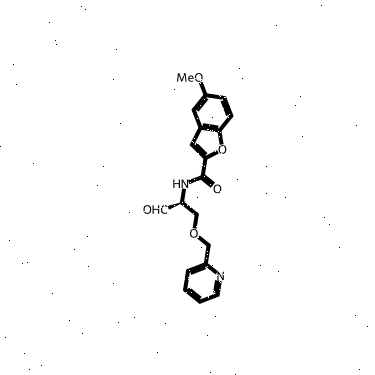 COc1ccc2oc(C(=O)N[C@H](C=O)COCc3ccccn3)cc2c1